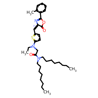 CCCCCCCCN(CCCCCCCC)C(=O)CN(CC)c1ccc(/C=C2/N=C(c3ccccc3C)OC2=O)s1